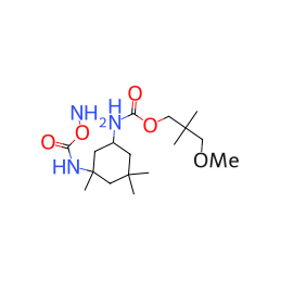 COCC(C)(C)COC(=O)NC1CC(C)(C)CC(C)(NC(=O)ON)C1